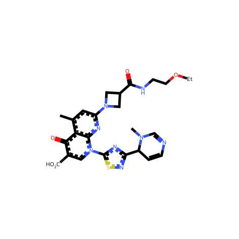 CCOCCNC(=O)C1CN(c2cc(C)c3c(=O)c(C(=O)O)cn(-c4nc(C5C=CN=CN5C)ns4)c3n2)C1